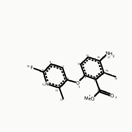 COC(=O)c1c(Oc2ccc(F)nc2C)ccc(N)c1C